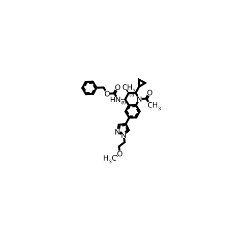 COCCn1cc(-c2ccc3c(c2)[C@H](NC(=O)OCc2ccccc2)[C@@H](C)C(C2CC2)N3C(C)=O)cn1